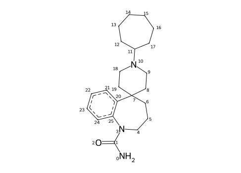 NC(=O)N1CCCC2(CCN(C3CCCCCC3)CC2)c2ccccc21